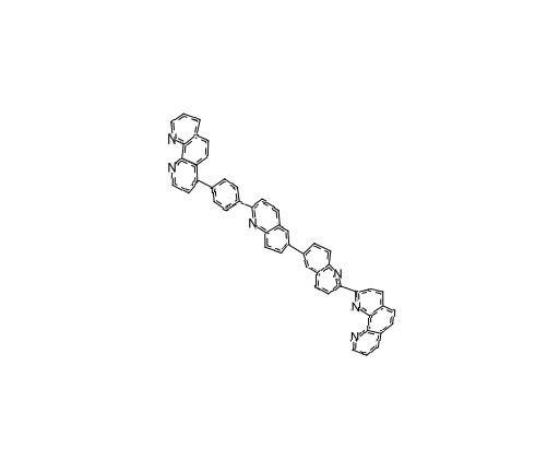 c1cnc2c(c1)ccc1ccc(-c3ccc4cc(-c5ccc6nc(-c7ccc(-c8ccnc9c8ccc8cccnc89)cc7)ccc6c5)ccc4n3)nc12